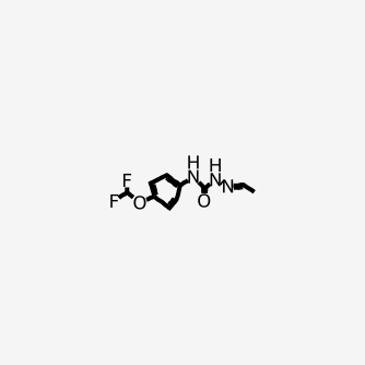 CC=NNC(=O)Nc1ccc(OC(F)F)cc1